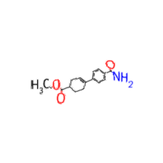 CCOC(=O)C1CC=C(c2ccc(C(N)=O)cc2)CC1